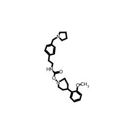 COc1ccccc1C1CCN(OC(=O)NCCc2ccc(CN3CCCC3)cc2)CC1